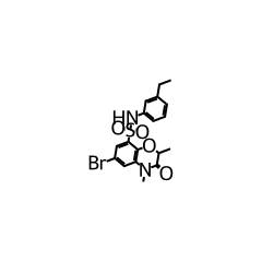 CCc1cccc(NS(=O)(=O)c2cc(Br)cc3c2OC(C)C(=O)N3C)c1